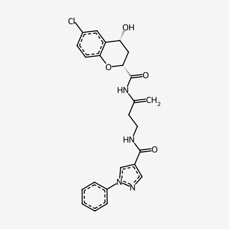 C=C(CCNC(=O)c1cnn(-c2ccccc2)c1)NC(=O)[C@H]1C[C@@H](O)c2cc(Cl)ccc2O1